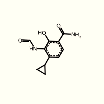 NC(=O)c1ccc(C2CC2)c(NC=O)c1O